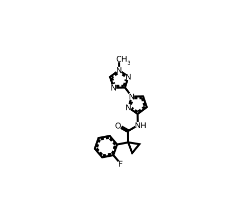 Cn1cnc(-n2ccc(NC(=O)C3(c4ccccc4F)CC3)n2)n1